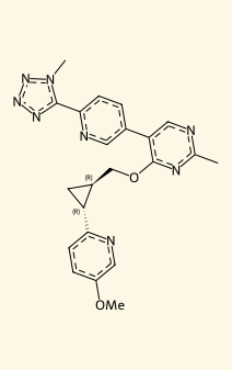 COc1ccc([C@@H]2C[C@H]2COc2nc(C)ncc2-c2ccc(-c3nnnn3C)nc2)nc1